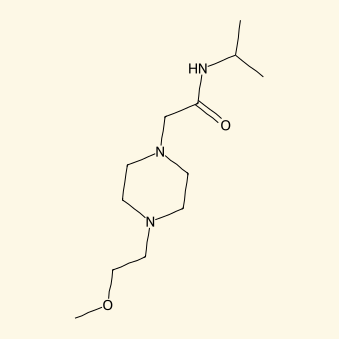 COCCN1CCN(CC(=O)NC(C)C)CC1